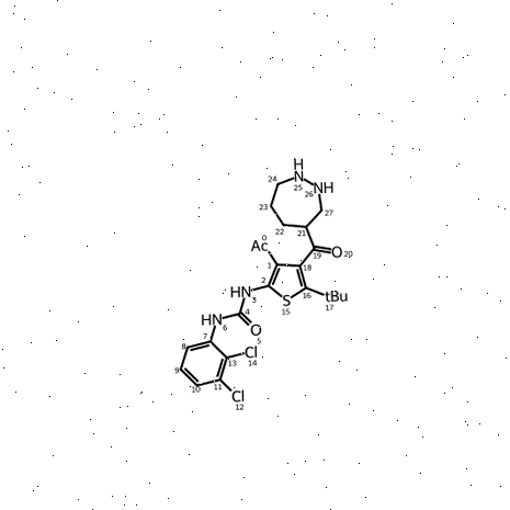 CC(=O)c1c(NC(=O)Nc2cccc(Cl)c2Cl)sc(C(C)(C)C)c1C(=O)C1CCCNNC1